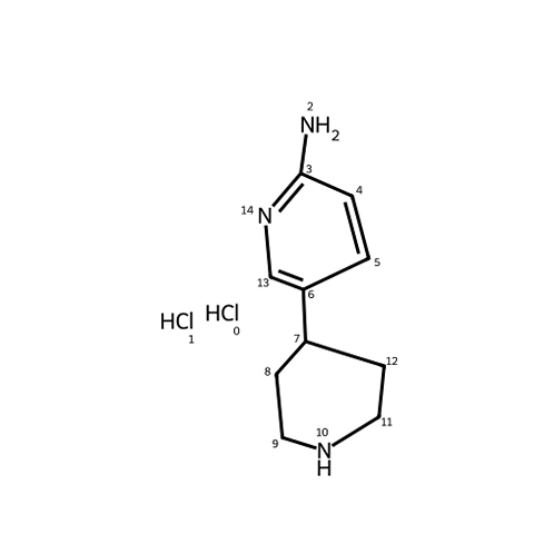 Cl.Cl.Nc1ccc(C2CCNCC2)cn1